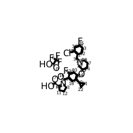 O=C(O)C(F)(F)F.O=C(O)[C@@H]1CCCN1C(=O)c1cc(C2CC2)c(O[C@@H]2CCCN(Cc3ccc(F)cc3Cl)C2)cc1F